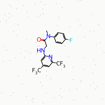 CN(C(=O)CNc1cc(C(F)(F)F)cc(C(F)(F)F)n1)c1ccc(F)cc1